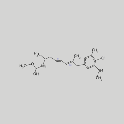 CNc1cc(C/C(C)=C/C=C/CC(C)NC(O)OC)cc(C)c1Cl